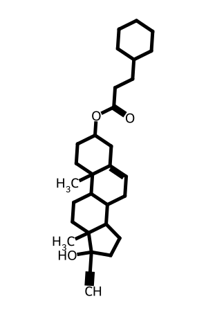 C#CC1(O)CCC2C3CC=C4CC(OC(=O)CCC5CCCCC5)CCC4(C)C3CCC21C